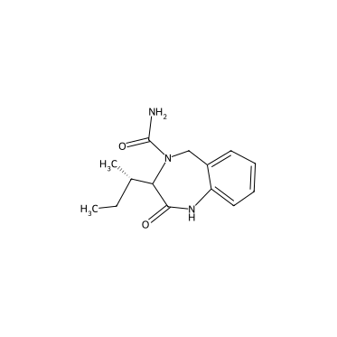 CC[C@H](C)C1C(=O)Nc2ccccc2CN1C(N)=O